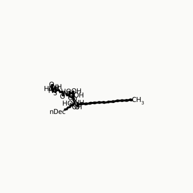 CC#CC#CC#CC#CC#CC#CC#CC#CC#CC#CC#CC#CC(=O)N[C@@H](COC1OC(CNC(=O)CCCC2SC[C@@H]3NC(=O)N[C@H]23)C(O)C(O)C1O)[C@H](O)[C@H](O)CCCCCCCCCCCCCC